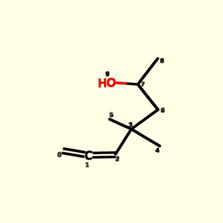 C=C=CC(C)(C)CC(C)O